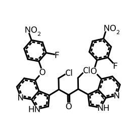 O=C(C(CCl)c1c[nH]c2nccc(Oc3ccc([N+](=O)[O-])cc3F)c12)C(CCl)c1c[nH]c2nccc(Oc3ccc([N+](=O)[O-])cc3F)c12